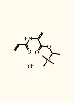 C=CC(=O)NC(=C)C(=O)OC(C)[N+](C)(C)C.[Cl-]